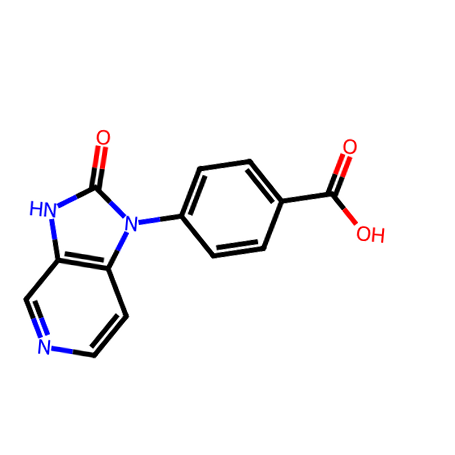 O=C(O)c1ccc(-n2c(=O)[nH]c3cnccc32)cc1